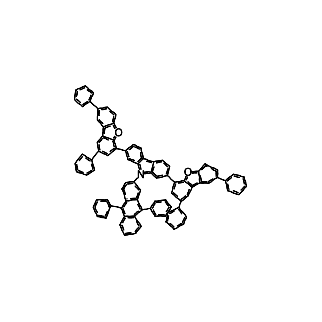 c1ccc(-c2ccc3oc4c(-c5ccc6c7ccc(-c8cc(-c9ccccc9)cc9c8oc8ccc(-c%10ccccc%10)cc89)cc7n(-c7ccc8c(-c9ccccc9)c9ccccc9c(-c9ccccc9)c8c7)c6c5)cc(-c5ccccc5)cc4c3c2)cc1